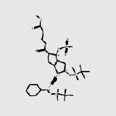 COC(=O)CCCC(=O)C1CC2C(C[C@@H](O[Si](C)(C)C(C)(C)C)[C@@H]2C#C[C@H](O[Si](C)(C)C(C)(C)C)C2CCCCC2)[C@@H]1OS(C)(=O)=O